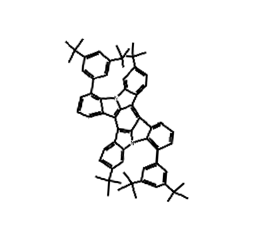 CC(C)(C)c1cc(-c2cccc3c4c5c6ccc(C(C)(C)C)cc6n6c7c(-c8cc(C(C)(C)C)cc(C(C)(C)C)c8)cccc7c(c7c8ccc(C(C)(C)C)cc8n(c23)c74)c56)cc(C(C)(C)C)c1